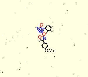 COc1ccc(-c2coc(OCc3c(C)cccc3-n3nnn(C)c3=O)n2)cc1